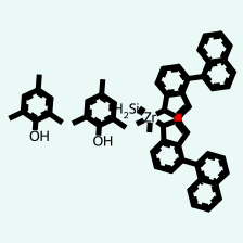 CC1=Cc2c(-c3cccc4ccccc34)cccc2[CH]1[Zr]([CH3])([CH3])(=[SiH2])[CH]1C(C)=Cc2c(-c3cccc4ccccc34)cccc21.Cc1cc(C)c(O)c(C)c1.Cc1cc(C)c(O)c(C)c1